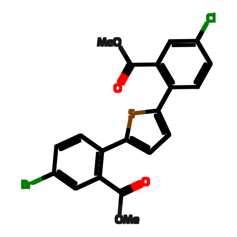 COC(=O)c1cc(Cl)ccc1-c1ccc(-c2ccc(Br)cc2C(=O)OC)s1